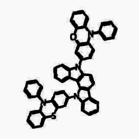 c1ccc(N2c3ccccc3Oc3cc(-n4c5ccccc5c5c4ccc4c6ccccc6n(-c6ccc7c(c6)Sc6ccccc6N7c6ccccc6)c45)ccc32)cc1